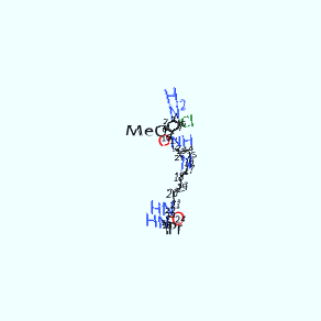 COc1cc(N)c(Cl)cc1C(=O)NC[C@H]1CCN(CCCCCNC(=O)NC(C)C)C1